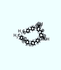 COc1ccc(-c2ccc(Oc3ccc(C(=O)c4ccc(Oc5ccc(-c6ccc(Oc7ccc(S(=O)(=O)c8ccc(C)cc8)cc7)cc6)cc5)c(S(=O)(=O)O)c4)cc3S(=O)(=O)O)cc2)cc1